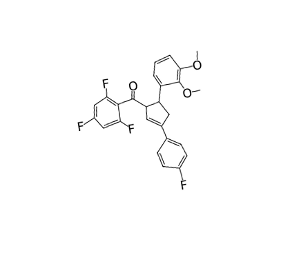 COc1cccc(C2CC(c3ccc(F)cc3)=CC2C(=O)c2c(F)cc(F)cc2F)c1OC